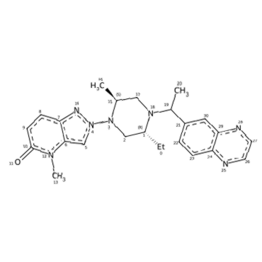 CC[C@@H]1CN(n2cc3c(ccc(=O)n3C)n2)[C@@H](C)CN1C(C)c1ccc2nccnc2c1